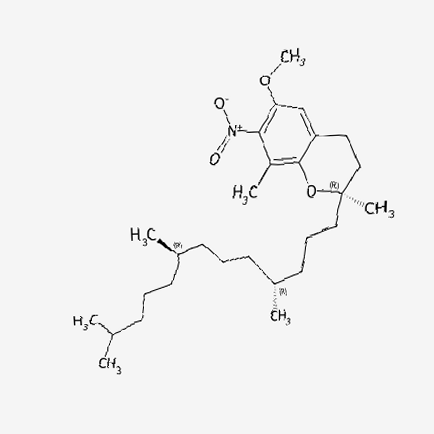 COc1cc2c(c(C)c1[N+](=O)[O-])O[C@](C)(CCC[C@H](C)CCC[C@H](C)CCCC(C)C)CC2